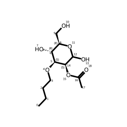 CCCCO[C@H]1[C@H](O)[C@@H](CO)OC(O)[C@H]1OC(C)=O